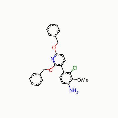 COc1c(N)ccc(-c2ccc(OCc3ccccc3)nc2OCc2ccccc2)c1Cl